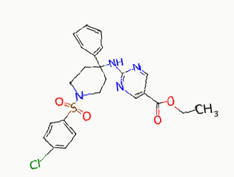 CCOC(=O)c1cnc(NC2(c3ccccc3)CCN(S(=O)(=O)c3ccc(Cl)cc3)CC2)nc1